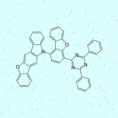 c1ccc(-c2nc(-c3ccccc3)nc(-c3ccc(-n4c5ccccc5c5cc6oc7ccccc7c6cc54)c4c3oc3ccccc34)n2)cc1